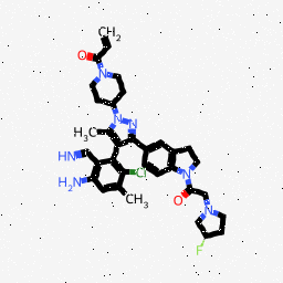 C=CC(=O)N1CCC(n2nc(-c3ccc4c(c3)CCN4C(=O)CN3CC[C@H](F)C3)c(-c3c(Cl)c(C)cc(N)c3C=N)c2C)CC1